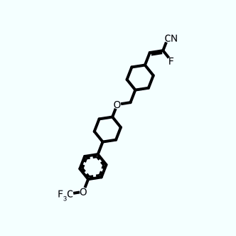 N#CC(F)=CC1CCC(COC2CCC(c3ccc(OC(F)(F)F)cc3)CC2)CC1